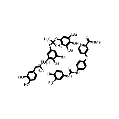 CC(C)(Sc1cc(C(C)(C)C)c(O)c(C(C)(C)C)c1)Sc1cc(C(C)(C)C)c(O)c(C(C)(C)C)c1.CNC(=O)c1cc(Oc2ccc(NC(=O)Nc3ccc(Cl)c(C(F)(F)F)c3)cc2)ccn1.N[C@@H](Cc1ccc(O)c(O)c1)C(=O)O